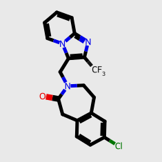 O=C1Cc2ccc(Cl)cc2CCN1Cc1c(C(F)(F)F)nc2ccccn12